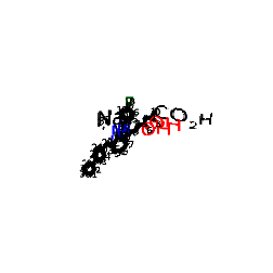 O=C(O)CC(O)CC(O)C=Cc1c2c(nn1-c1ccc(F)cc1)C(Cc1ccc(-c3ccccc3)cc1)CCC2.[Na]